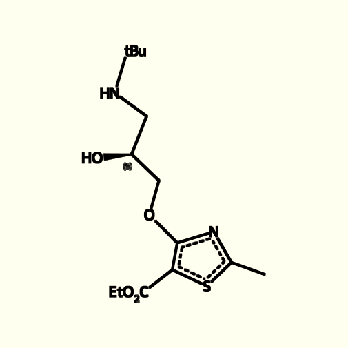 CCOC(=O)c1sc(C)nc1OC[C@@H](O)CNC(C)(C)C